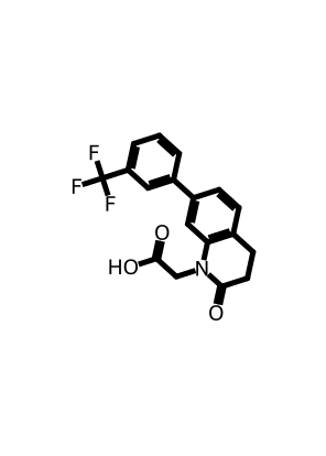 O=C(O)CN1C(=O)CCc2ccc(-c3cccc(C(F)(F)F)c3)cc21